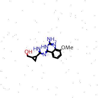 COc1cccc2/c(=N/C(=N)C3CC3CO)[nH]c(N)nc12